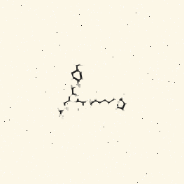 CC(C)C(NC(=O)CCCCCN1C(=O)C=CC1=O)C(=O)N[C@@H](CCCNC(N)=O)C(=O)Nc1ccc(CCl)cc1